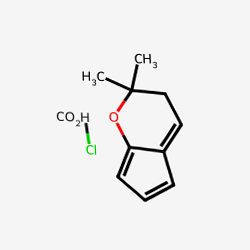 CC1(C)CC=C2C=CC=C2O1.O=C(O)Cl